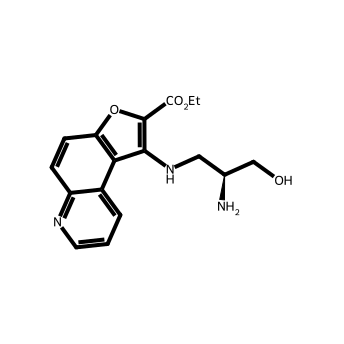 CCOC(=O)c1oc2ccc3ncccc3c2c1NC[C@H](N)CO